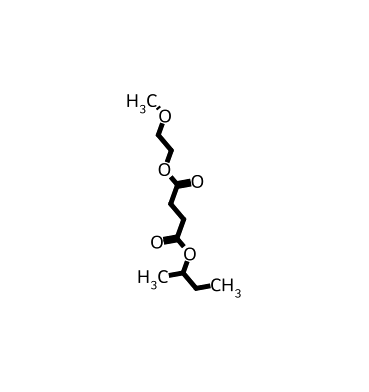 CCC(C)OC(=O)CCC(=O)OCCOC